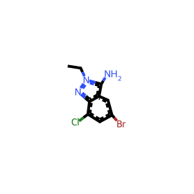 CCn1nc2c(Cl)cc(Br)cc2c1N